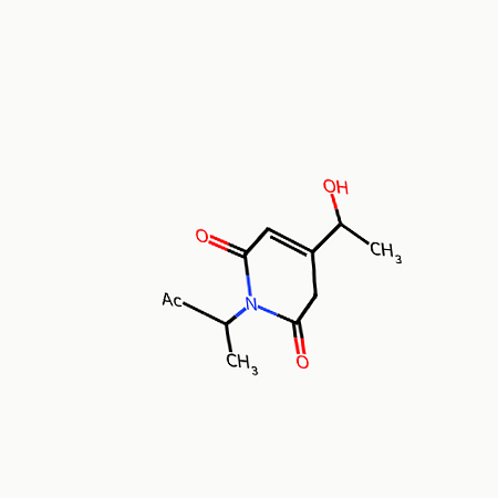 CC(=O)C(C)N1C(=O)C=C(C(C)O)CC1=O